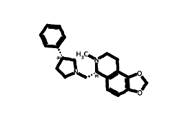 CN1CCc2c(ccc3c2OCO3)[C@@H]1CN1CC[C@H](c2ccccc2)C1